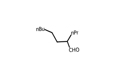 [CH2]CCCCCC(C=O)CCC